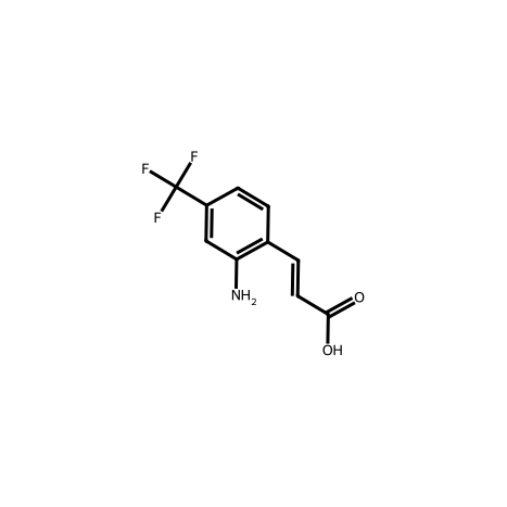 Nc1cc(C(F)(F)F)ccc1C=CC(=O)O